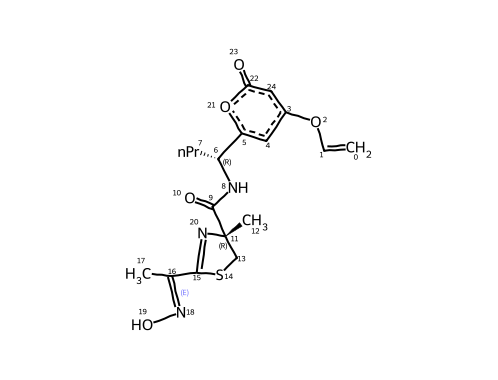 C=COc1cc([C@@H](CCC)NC(=O)[C@]2(C)CSC(/C(C)=N/O)=N2)oc(=O)c1